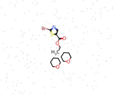 C1CCOCC1.C1CCOCC1.CCOC(=O)c1cnc(Br)s1